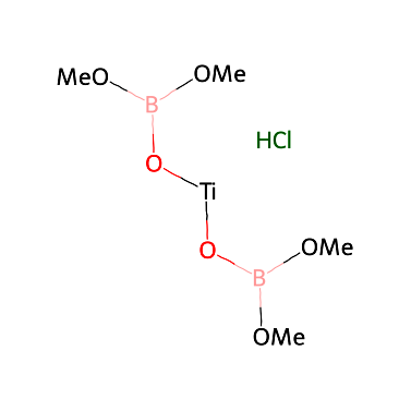 COB(OC)[O][Ti][O]B(OC)OC.Cl